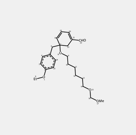 CCOc1ccc(CC2(OCCCCCCOCOC)C=CC=C(C=O)C2)cc1